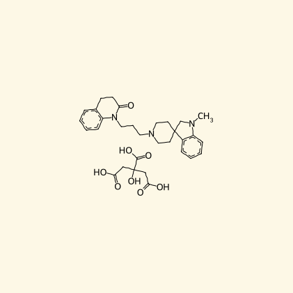 CN1CC2(CCN(CCCN3C(=O)CCc4ccccc43)CC2)c2ccccc21.O=C(O)CC(O)(CC(=O)O)C(=O)O